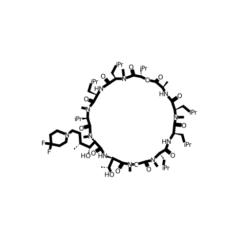 CC(C)C[C@@H]1C(=O)N[C@H](CC(C)C)C(=O)N(C)[C@H](C(C)C)C(=O)N(C)[C@H]([C@H](O)[C@H](C)CCN2CCC(F)(F)CC2)C(=O)N[C@H]([C@@H](C)O)C(=O)N(C)CC(=O)N(C)[C@@H](CC(C)C)C(=O)N[C@H](CC(C)C)C(=O)N(C)[C@H](CC(C)C)C(=O)N[C@H](C)C(=O)O[C@@H](C(C)C)C(=O)N1C